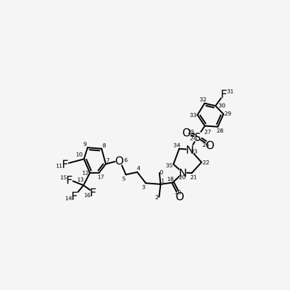 CC(C)(CCCOc1ccc(F)c(C(F)(F)F)c1)C(=O)N1CCN(S(=O)(=O)c2ccc(F)cc2)CC1